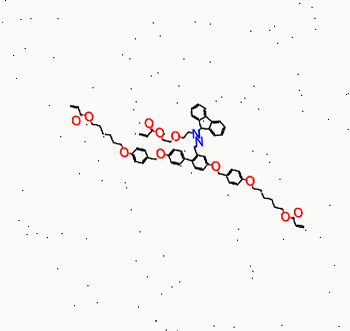 C=CC(=O)OCCCCCCOc1ccc(COc2ccc(-c3ccc(OCc4ccc(OCCCCCCOC(=O)C=C)cc4)cc3/C=N/N(CCOCCOC(=O)C=C)C3c4ccccc4-c4ccccc43)cc2)cc1